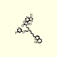 O=C(O)[C@H](CCN(CCCCc1ccc2c(n1)NCCC2)CCOc1cncc(F)c1)Nc1ncnc2[nH]cnc12